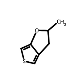 CC1Cc2cscc2O1